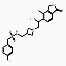 Cc1c(C(O)CN2CC(CNS(=O)(=O)Cc3ccc(C#N)cc3)C2)ccc2c1COC2=O